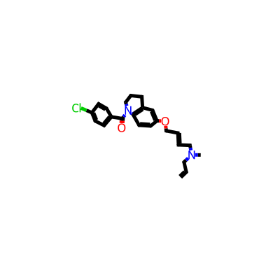 C=CCN(C)C/C=C/COc1ccc2c(c1)CCCN2C(=O)c1ccc(Cl)cc1